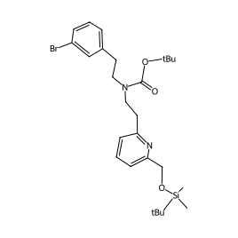 CC(C)(C)OC(=O)N(CCc1cccc(Br)c1)CCc1cccc(CO[Si](C)(C)C(C)(C)C)n1